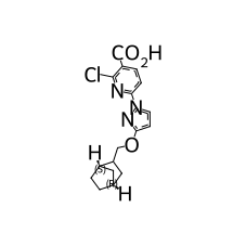 O=C(O)c1ccc(-n2ccc(OCC3C[C@@H]4CC[C@H]3C4)n2)nc1Cl